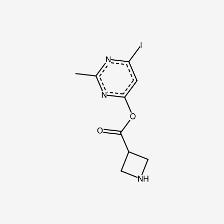 Cc1nc(I)cc(OC(=O)C2CNC2)n1